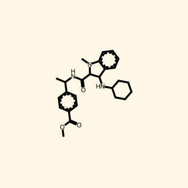 COC(=O)c1ccc(C(C)NC(=O)C2C(NC3CCCCC3)c3ccccc3N2C)cc1